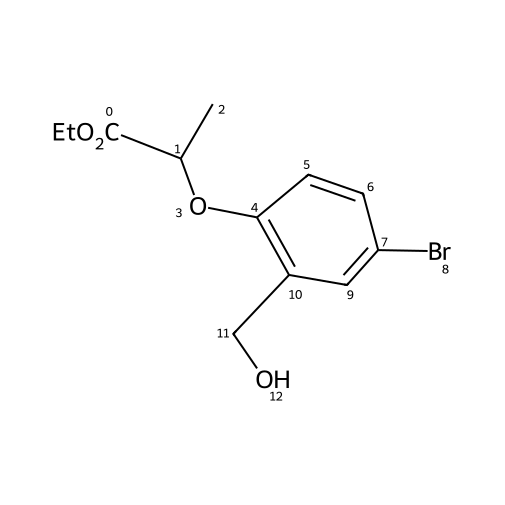 CCOC(=O)C(C)Oc1ccc(Br)cc1CO